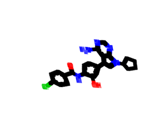 Nc1ncnc2c1c(-c1ccc(NC(=O)c3ccc(Cl)cc3)c(O)c1)cn2C1CCCC1